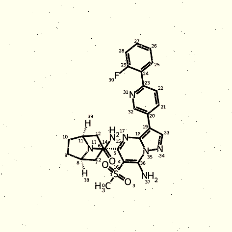 CS(=O)(=O)c1c([C@@H]2C[C@H]3CC[C@@H](C2)N3C(N)=O)nc2c(-c3ccc(-c4ccccc4F)nc3)cnn2c1N